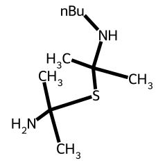 CCCCNC(C)(C)SC(C)(C)N